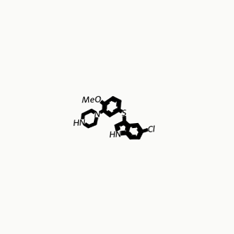 COc1ccc(Sc2c[nH]c3ccc(Cl)cc23)cc1N1CCNCC1